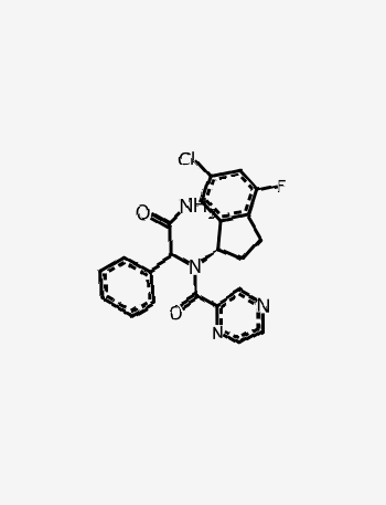 NC(=O)C(c1ccccc1)N(C(=O)c1cnccn1)[C@@H]1CCc2c(F)cc(Cl)cc21